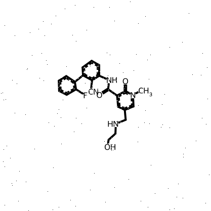 Cn1cc(CNCCO)cc(C(=O)Nc2cccc(-c3ccccc3F)c2C#N)c1=O